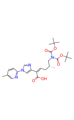 Cc1ccc(-n2cnc(/C(=C/C[C@@H](C)CN(C(=O)OC(C)(C)C)C(=O)OC(C)(C)C)C(=O)O)c2)nc1